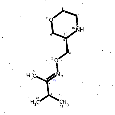 C/C(=N\OC[C@H]1COCCN1)C(C)C